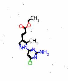 CCOC(=O)C=Cc1cnn(-c2cc(Cl)nc(N)n2)c1C